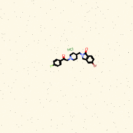 Cl.O=C(CN1CCC(CN2Cc3cc(Br)ccc3C2=O)CC1)c1ccc(F)cc1